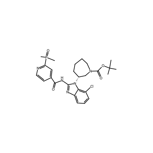 CC(C)(C)OC(=O)N1CCCC[C@@H](n2c(NC(=O)c3ccnc(P(C)(C)=O)c3)nc3cccc(Cl)c32)C1